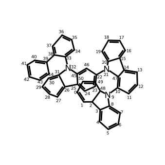 C1=CC2c3ccccc3N(c3cccc4c5ccccc5n(-c5ccc6c7ccccc7n(-c7ccccc7-c7ccccc7)c6c5)c34)C2C=C1